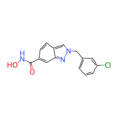 O=C(NO)c1ccc2cn(Cc3cccc(Cl)c3)nc2c1